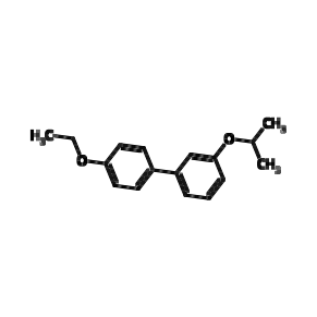 CCOc1ccc(-c2cccc(OC(C)C)c2)cc1